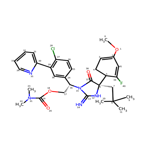 COC1=CCC([C@@]2(CC(C)(C)C)NC(=N)N([C@H](COC(=O)N(C)C)c3ccc(Cl)c(-c4ccccn4)c3)C2=O)C(F)=C1